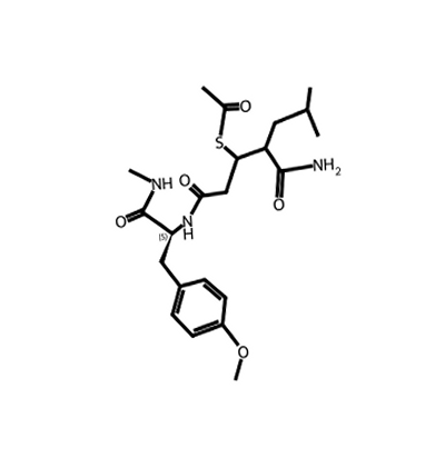 CNC(=O)[C@H](Cc1ccc(OC)cc1)NC(=O)CC(SC(C)=O)C(CC(C)C)C(N)=O